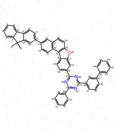 CC1(C)c2ccccc2-c2ccc(-c3ccc4c(ccc5oc6cc(-c7nc(-c8ccccc8)nc(-c8cccc(-c9ccccc9)c8)n7)ccc6c54)c3)cc21